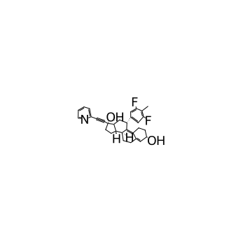 Cc1c(F)cc([C@H]2C[C@@]3(C)[C@@H](CC[C@@]3(O)C#Cc3ccccn3)[C@@H]3CCC4=CC(O)CCC4=C32)cc1F